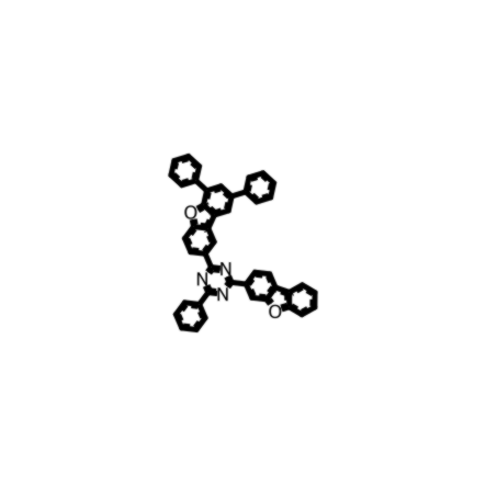 c1ccc(-c2cc(-c3ccccc3)c3oc4ccc(-c5nc(-c6ccccc6)nc(-c6ccc7c(c6)oc6ccccc67)n5)cc4c3c2)cc1